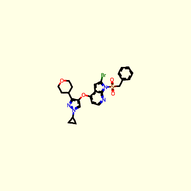 O=S(=O)(Cc1ccccc1)n1c(Br)cc2c(Oc3cn(C4CC4)nc3C3CCOCC3)ccnc21